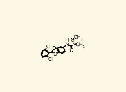 CON(C)C(=O)Nc1ccc2c(c1)OC(c1c(Cl)cccc1Cl)O2